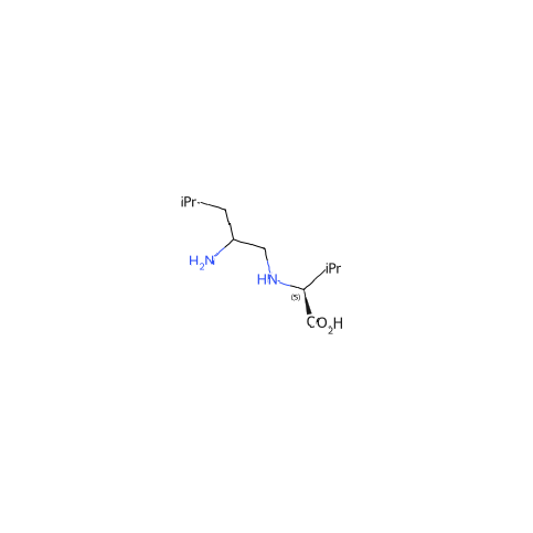 CC(C)CC(N)CN[C@H](C(=O)O)C(C)C